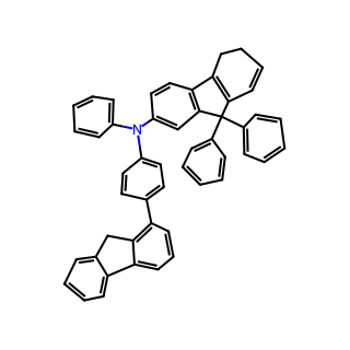 C1=CC2=C(CC1)c1ccc(N(c3ccccc3)c3ccc(-c4cccc5c4Cc4ccccc4-5)cc3)cc1C2(c1ccccc1)c1ccccc1